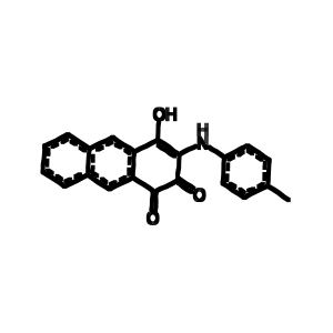 Cc1ccc(NC2=C(O)c3cc4ccccc4cc3C(=O)C2=O)cc1